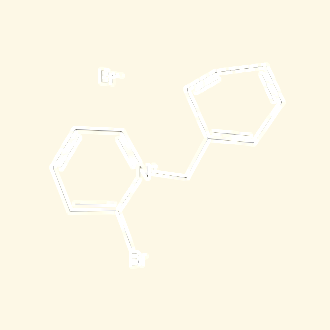 Brc1cccc[n+]1Cc1ccccc1.[Br-]